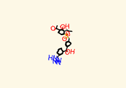 CCCc1c(S(=O)(=O)Cc2ccc(C(O)c3cccc(-c4nnn[nH]4)c3)cc2)ccc(C(C)=O)c1O